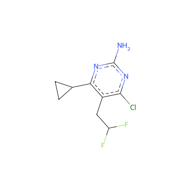 Nc1nc(Cl)c(CC(F)F)c(C2CC2)n1